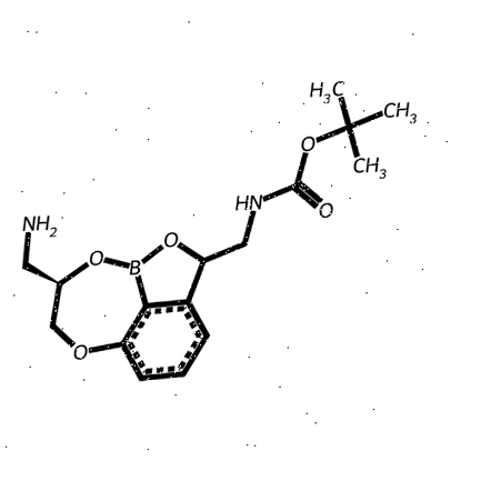 CC(C)(C)OC(=O)NCC1OB2O[C@H](CN)COc3cccc1c32